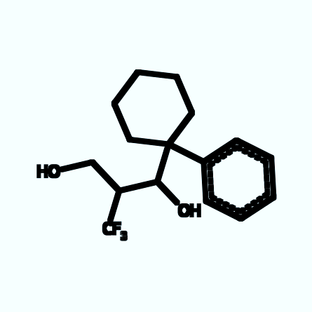 OCC(C(O)C1(c2ccccc2)CCCCC1)C(F)(F)F